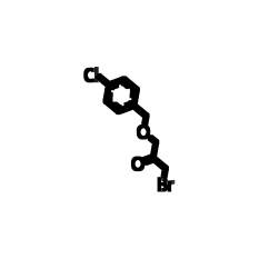 O=C(CBr)COCc1ccc(Cl)cc1